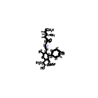 COCc1c([C@H](C)CO)nc(C(C)C)c(/C=C/C(=O)C[C@@H](O)CC(=O)O)c1-c1ccc(F)cc1